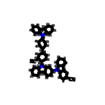 N#Cc1ccc2c(c1)c1ccccc1n2-c1ccc2c3ccccc3n(-c3ccc(-c4ccc(-n5c6ccccc6c6ccccc65)cc4)cc3C#N)c2c1